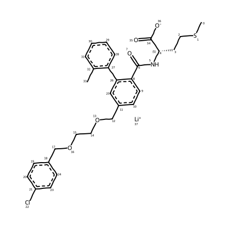 CSCC[C@H](NC(=O)c1ccc(COCCOCc2ccc(Cl)cc2)cc1-c1ccccc1C)C(=O)[O-].[Li+]